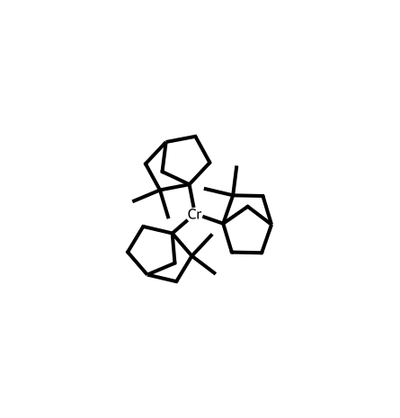 CC1(C)CC2CC[C]1([Cr]([C]13CCC(CC1(C)C)C3)[C]13CCC(CC1(C)C)C3)C2